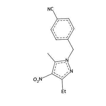 CCc1nn(Cc2ccc(C#N)cc2)c(C)c1[N+](=O)[O-]